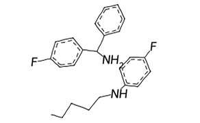 CCCCCNc1ccc(F)cc1.NC(c1ccccc1)c1ccc(F)cc1